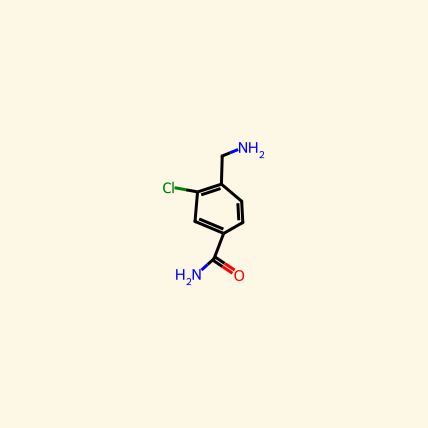 NCc1ccc(C(N)=O)cc1Cl